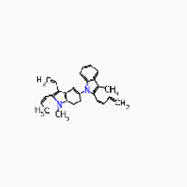 C=C/C=C\c1c(C)c2ccccc2n1C1=Cc2c(C=C)c(/C=C\C)n(C)c2CC1